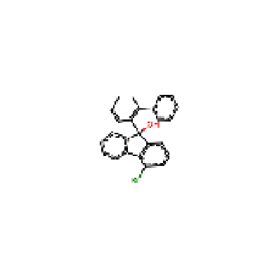 C/C=C\C(=C(/C)c1ccccc1)C1(O)c2ccccc2-c2c(Br)cccc21